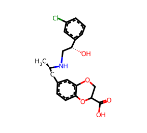 C[C@H](Cc1ccc2c(c1)OCC(C(=O)O)O2)NC[C@@H](O)c1cccc(Cl)c1